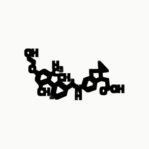 Cc1cc(OCCO)cc(C)c1-c1cccc(CNc2ccc3c(c2)CC2(CC2)C3CC(=O)O)c1C